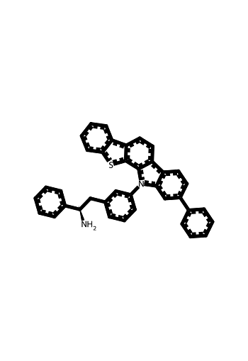 N[C@H](Cc1cccc(-n2c3cc(-c4ccccc4)ccc3c3ccc4c5ccccc5sc4c32)c1)c1ccccc1